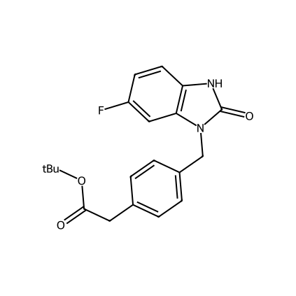 CC(C)(C)OC(=O)Cc1ccc(Cn2c(=O)[nH]c3ccc(F)cc32)cc1